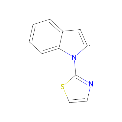 [c]1cc2ccccc2n1-c1nccs1